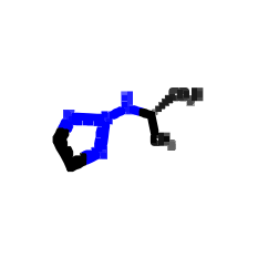 C[C@H](Nn1nccn1)C(=O)O